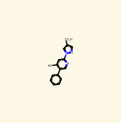 N#Cc1cc(-n2cc(C(=O)O)cn2)ncc1-c1ccccc1